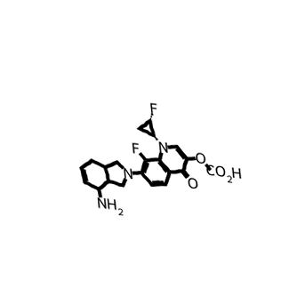 NC1C=CCC2CN(c3ccc4c(=O)c(OC(=O)O)cn([C@@H]5C[C@@H]5F)c4c3F)CC12